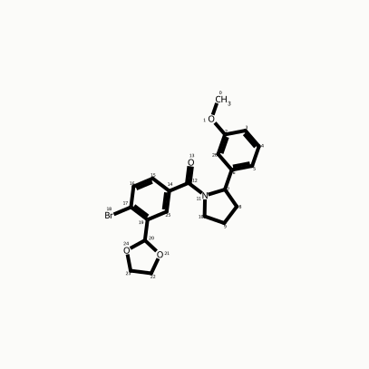 COc1cccc(C2CCCN2C(=O)c2ccc(Br)c(C3OCCO3)c2)c1